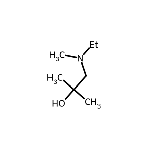 CCN(C)CC(C)(C)O